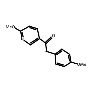 COc1ccc([CH]C(=O)c2ccc(OC)nc2)cc1